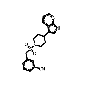 N#Cc1cccc(CS(=O)(=O)N2CCC(c3c[nH]c4ncccc34)CC2)c1